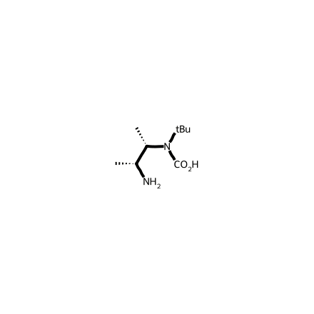 C[C@@H](N)[C@H](C)N(C(=O)O)C(C)(C)C